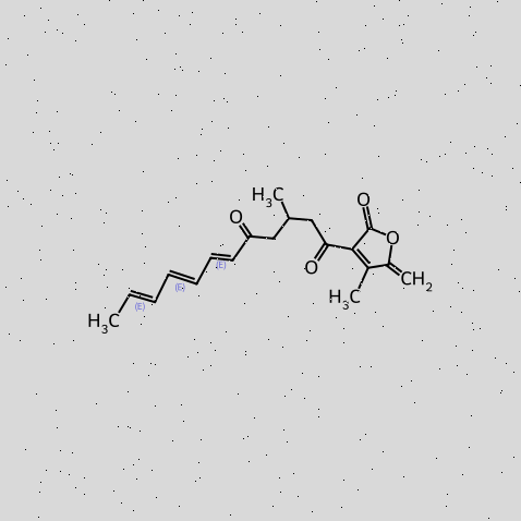 C=C1OC(=O)C(C(=O)CC(C)CC(=O)/C=C/C=C/C=C/C)=C1C